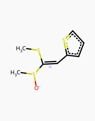 CS/C(=C\c1cccs1)[S+](C)[O-]